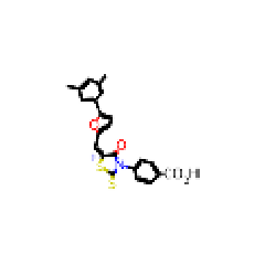 Cc1cc(C)cc(-c2ccc(/C=C3/SC(=S)N(c4ccc(C(=O)O)cc4)C3=O)o2)c1